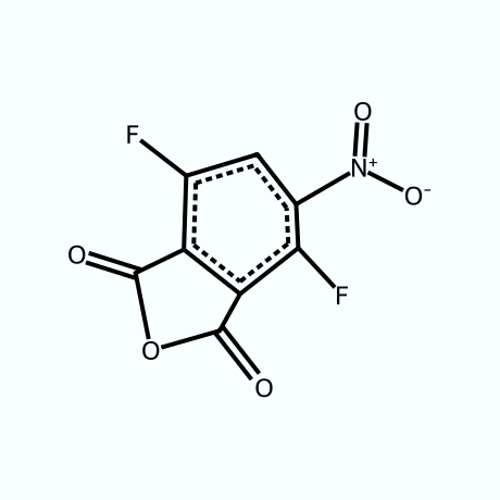 O=C1OC(=O)c2c(F)c([N+](=O)[O-])cc(F)c21